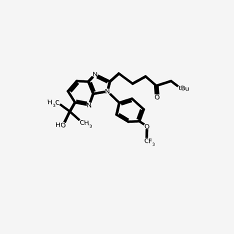 CC(C)(C)CC(=O)CCCc1nc2ccc(C(C)(C)O)nc2n1-c1ccc(OC(F)(F)F)cc1